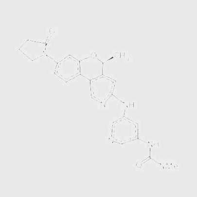 CNC(=O)Nc1cncc(Nc2cc3c(cn2)-c2ccc(N4CCCC4=O)cc2O[C@H]3C)c1